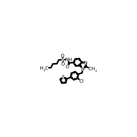 CCCCCS(=O)(=O)NC(=O)c1ccc2nc(C)n(Cc3ccc(-c4cccs4)cc3Cl)c2c1